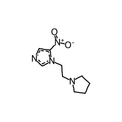 O=[N+]([O-])c1cncn1CCN1CCCC1